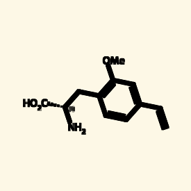 C=Cc1ccc(C[C@H](N)C(=O)O)c(OC)c1